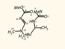 CNC(=O)NC(C)C(C)(C)C.COC(=O)N=CN(C)C